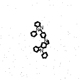 c1ccc(-n2c(-c3ccc(-n4ccc5cc6c(cc54)c4ccccc4n6-c4ccccc4)cc3)nc3ccccc32)cc1